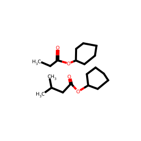 CC(C)CC(=O)OC1CCCCC1.CCC(=O)OC1CCCCC1